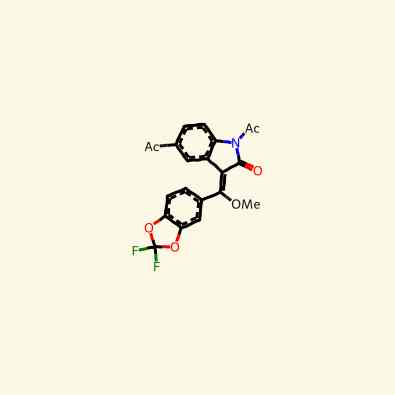 COC(=C1C(=O)N(C(C)=O)c2ccc(C(C)=O)cc21)c1ccc2c(c1)OC(F)(F)O2